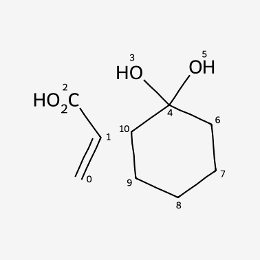 C=CC(=O)O.OC1(O)CCCCC1